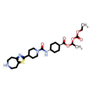 CCOC(=O)OC(C)OC(=O)[C@H]1CC[C@H](NC(=O)N2CCC(c3nc4c(s3)CCNCC4)CC2)CC1